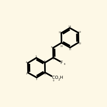 O=C(O)c1ccccc1C(F)=Cc1ccccc1